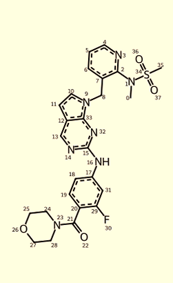 CN(c1ncccc1Cn1ccc2cnc(Nc3ccc(C(=O)N4CCOCC4)c(F)c3)nc21)S(C)(=O)=O